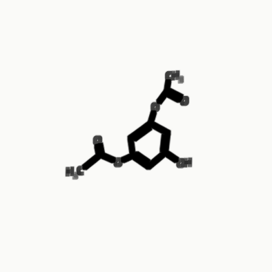 CC(=O)Oc1cc(O)cc(OC(C)=O)c1